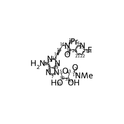 CNC(=O)[C@H]1O[C@@H](n2cnc3c(N)nc(C#CCN(C(=O)c4ccc(F)nc4)C(C)C)nc32)[C@H](O)C1O